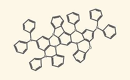 c1ccc(N(c2ccccc2)c2cc3c4c(c2)N(c2ccccc2)c2c(cc5c6c2c2ccccc2n6-c2cc(N(c6ccccc6)c6ccccc6)cc6c2B5c2ccccc2N6c2ccccc2)B4c2ccccc2O3)cc1